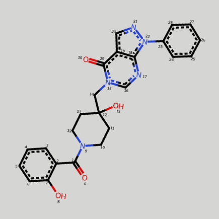 O=C(c1ccccc1O)N1CCC(O)(Cn2cnc3c(cnn3-c3ccccc3)c2=O)CC1